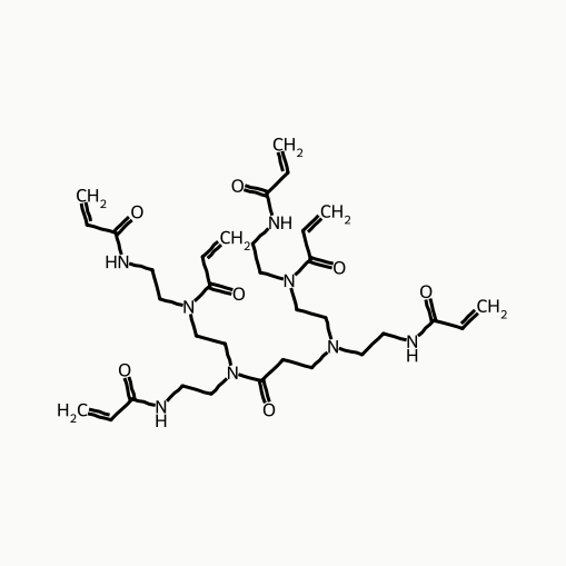 C=CC(=O)NCCN(CCC(=O)N(CCNC(=O)C=C)CCN(CCNC(=O)C=C)C(=O)C=C)CCN(CCNC(=O)C=C)C(=O)C=C